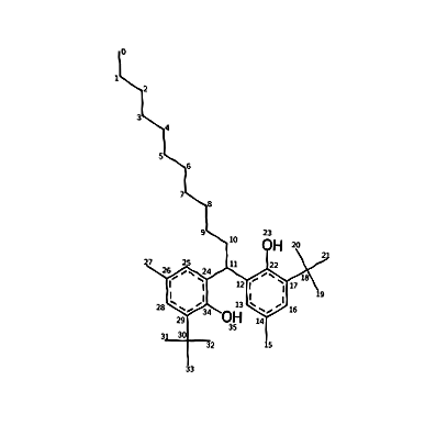 CCCCCCCCCCCC(c1cc(C)cc(C(C)(C)C)c1O)c1cc(C)cc(C(C)(C)C)c1O